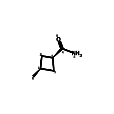 C[C@H]1C[C@@H](C(N)=O)C1